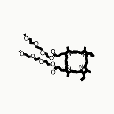 C=CC1=C(C)c2cc3[nH]c(cc4nc(cc5[nH]c(cc1n2)c(C)c5CCC(=O)OCCOCCOCCOC)C(CCC(=O)OCCOCCOCCOC)C4C)c(C)c3C=C